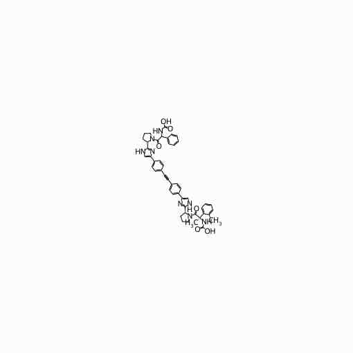 Cc1ccccc1[C@@](C)(NC(=O)O)C(=O)N1CCC[C@H]1c1nc(-c2ccc(C#Cc3ccc(-c4c[nH]c(C5CCCN5C(=O)C(NC(=O)O)c5ccccc5)n4)cc3)cc2)c[nH]1